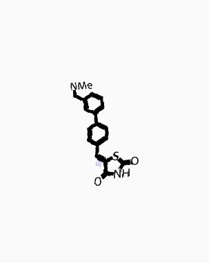 CNCc1cccc(-c2ccc(/C=C3\SC(=O)NC3=O)cc2)c1